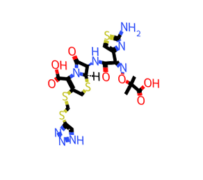 CC(C)(O/N=C(\C(=O)N[C@@H]1C(=O)N2C(C(=O)O)=C(SCSc3c[nH]nn3)CS[C@H]12)c1csc(N)n1)C(=O)O